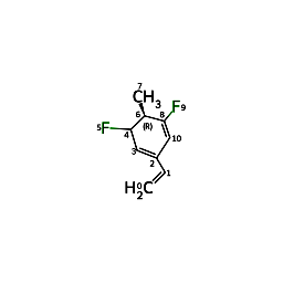 C=CC1=CC(F)[C@@H](C)C(F)=C1